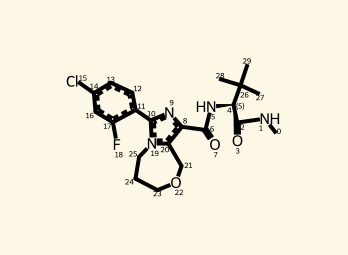 CNC(=O)[C@@H](NC(=O)c1nc(-c2ccc(Cl)cc2F)n2c1COCCC2)C(C)(C)C